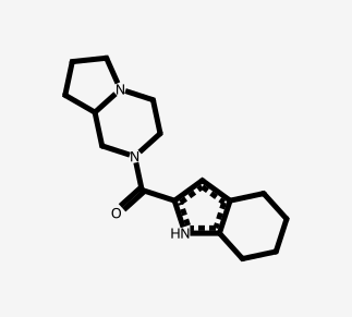 O=C(c1cc2c([nH]1)CCCC2)N1CCN2CCCC2C1